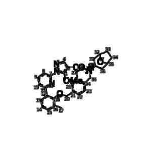 COc1c(C(=O)O)cnn1-c1cccc(-c2cccc(C)c2OCc2ccc3c(c2)CCN(C2CC4CCC(C2)O4)C3)n1